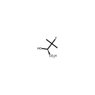 CC(C)(F)[C@H](O)C(=O)O